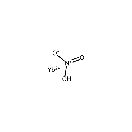 O=[N+]([O-])O.[Yb+2]